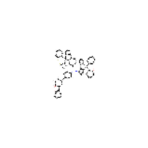 c1ccc2c(c1)Oc1ccccc1C21c2ccccc2-c2c(N(c3ccc(-c4ccc5oc6ccccc6c5c4)cc3)c3ccc4c(c3)C3(c5ccccc5Sc5ccccc53)c3ccccc3-4)cccc21